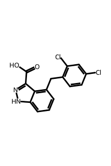 O=C(O)c1n[nH]c2cccc(Cc3ccc(Cl)cc3Cl)c12